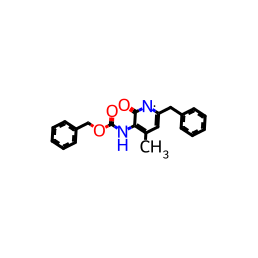 CC1=C(NC(=O)OCc2ccccc2)C(=O)[N]C(Cc2ccccc2)=C1